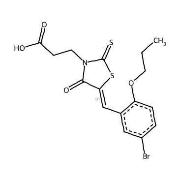 CCCOc1ccc(Br)cc1/C=C1\SC(=S)N(CCC(=O)O)C1=O